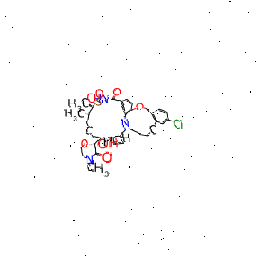 C[C@@H]1[C@@H](C)CCC[C@@](O)([C@H]2OCCN(C)C2=O)[C@@H]2CC[C@H]2CN2CCCCc3cc(Cl)ccc3COc3ccc(cc32)C(=O)NS1(=O)=O